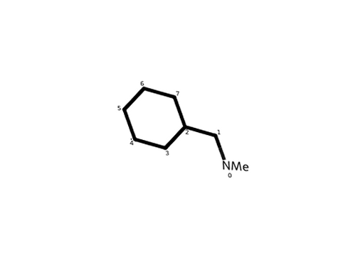 CNCC1C[CH]CCC1